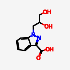 O=C(O)c1nn(CC(O)CO)c2ccccc12